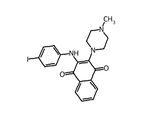 CN1CCN(C2=C(Nc3ccc(I)cc3)C(=O)c3ccccc3C2=O)CC1